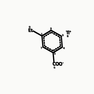 CCc1cccc(C(=O)[O-])c1.[Tl+]